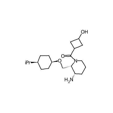 CC(C)[C@H]1CC[C@@H](OC[C@H]2[C@@H](N)CCCN2C(=O)C2CC(O)C2)CC1